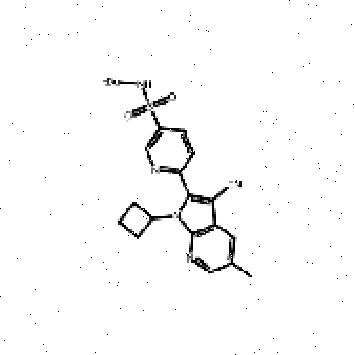 Cc1cnc2c(c1)c(C#N)c(-c1ccc(S(=O)(=O)NC(C)(C)C)cn1)n2C1CCC1